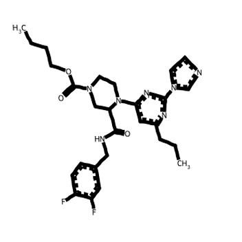 CCCCOC(=O)N1CCN(c2cc(CCC)nc(-n3ccnc3)n2)C(C(=O)NCc2ccc(F)c(F)c2)C1